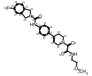 COCCNC(=O)C(=O)N1CC=C(c2ccc(NC(=O)N3Cc4ccc(F)cc4C3)cc2)CC1